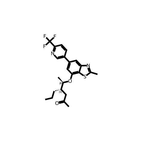 CCC[C@@H](CC(C)=O)[C@@H](C)Oc1cc(-c2ccc(C(F)(F)F)nc2)cc2nc(C)sc12